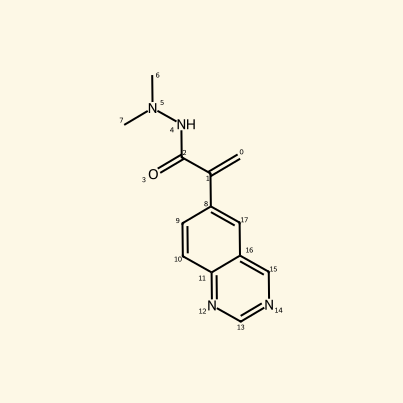 C=C(C(=O)NN(C)C)c1ccc2ncncc2c1